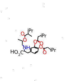 CC(C)CC(=O)Oc1ccc(C[C@H](NCC(C)OC(=O)C(C)C(C)C)C(=O)O)cc1OC(=O)CC(C)C